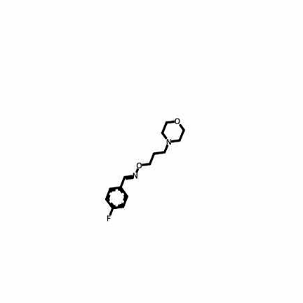 Fc1ccc(C=NOCCCN2CCOCC2)cc1